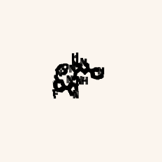 Fc1cc(CN2CCOCC2)cc(-c2cncc3[nH]c(-c4n[nH]c5ncc(-c6cccnc6)cc45)nc23)c1